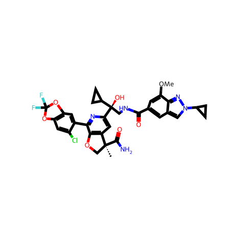 COc1cc(C(=O)NC[C@](O)(c2cc3c(c(-c4cc5c(cc4Cl)OC(F)(F)O5)n2)OC[C@]3(C)C(N)=O)C2CC2)cc2cn(C3CC3)nc12